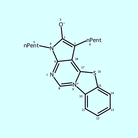 CCCCCc1c([O-])n(CCCCC)c2nc[n+]3c4ccccc4sc3c12